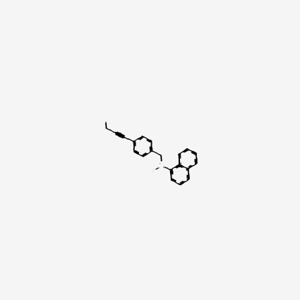 CCN(Cc1ccc(C#CCO)cc1)c1cccc2ccccc12